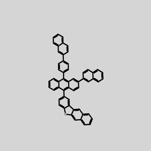 c1ccc2cc(-c3ccc(-c4c5ccccc5c(-c5ccc6oc7cc8ccccc8cc7c6c5)c5ccc(-c6ccc7ccccc7c6)cc45)cc3)ccc2c1